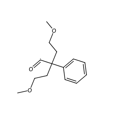 COCCC([C]=O)(CCOC)c1ccccc1